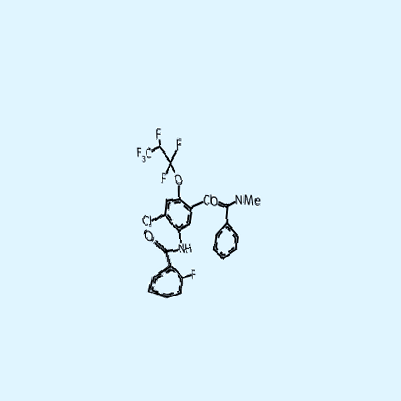 CNC(=O)c1ccccc1.O=C(Nc1cc(Cl)c(OC(F)(F)C(F)C(F)(F)F)cc1Cl)c1ccccc1F